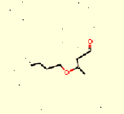 CCCCOC(C)C[C]=O